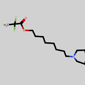 CC(F)(F)C(=O)OCCCCCCCCN1CCCCC1